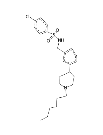 CCCCCCN1CCC(c2cccc(CNS(=O)(=O)c3ccc(Cl)cc3)c2)CC1